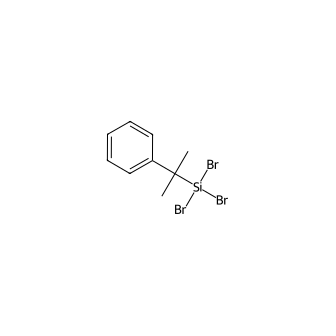 CC(C)(c1ccccc1)[Si](Br)(Br)Br